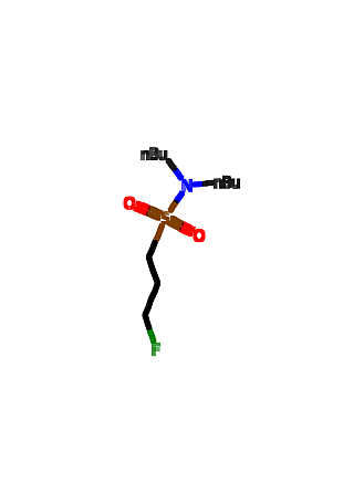 CCCCN(CCCC)S(=O)(=O)CCCF